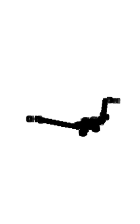 CCCCCCCCCCCCCCCCCCOC(=O)c1ccc(C[N+]2=c3c(c4c(c5ccccc35)=Cc3c(c5c(c6cc7ccccc7cc36)N(c3ccc(CCCCCCCCCCCCCCCCCCOC=O)cc3)CC5(C)C)O4)C(C)(C)C2)cc1